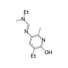 CCc1cc(/N=C/N(C)CC)c(C)nc1O